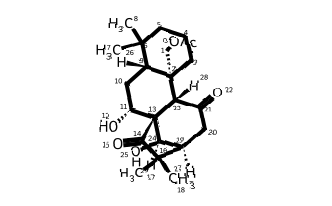 CC(=O)OC[C@@]12CCCC(C)(C)[C@H]1C[C@@H](O)[C@]13C(=O)C(C)(C)[C@H](CC(=O)[C@@H]21)[C@H]3O